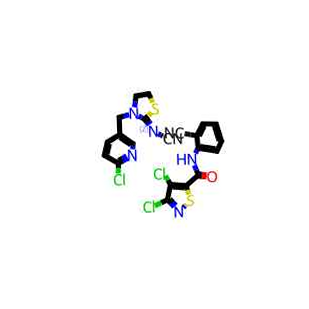 N#C/N=C1\SCCN1Cc1ccc(Cl)nc1.N#Cc1ccccc1NC(=O)c1snc(Cl)c1Cl